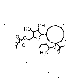 C/C=C\C(N)=N/C1(C(C)=O)CCCCCCCC(C2OC(COP(=O)(O)OC)C(O)C2O)CC1